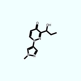 CCC(O)c1nn(-c2cnn(C)c2)ccc1=O